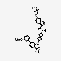 COc1cccc(-c2ccc(C(N)=O)c(OC3CC4(CC(NC(=O)c5cnn6cc(OCC(C)(C)O)ccc56)C4)C3)c2)n1